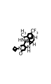 C[C@@H](NC(=O)c1cn(C23CC(C2)C3)c(=O)cc1N[C@H]1[C@@H]2CNC[C@@H]21)c1cccc(C(F)(F)F)c1